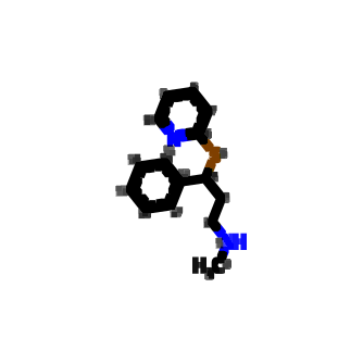 CNCCC(Sc1ccccn1)c1ccccc1